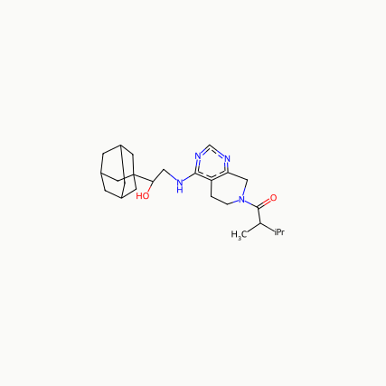 CC(C)C(C)C(=O)N1CCc2c(ncnc2NCC(O)C23CC4CC(CC(C4)C2)C3)C1